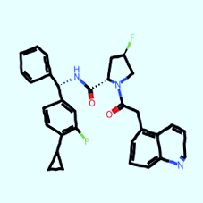 O=C(N[C@@H](c1ccccc1)c1ccc(C2CC2)c(F)c1)[C@@H]1C[C@@H](F)CN1C(=O)Cc1cccc2ncccc12